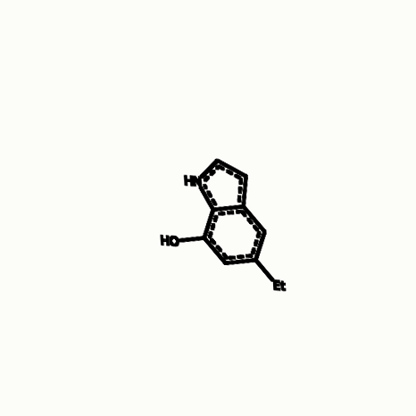 CCc1cc(O)c2[nH]ccc2c1